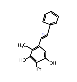 Cc1c(/C=C/c2ccccc2)cc(O)c(C(C)C)c1O